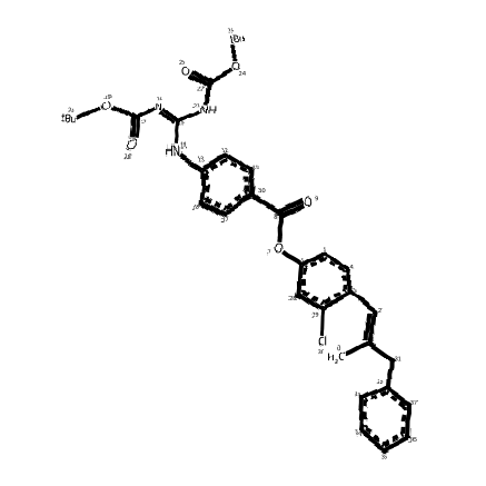 C/C(=C\c1ccc(OC(=O)c2ccc(N/C(=N\C(=O)OC(C)(C)C)NC(=O)OC(C)(C)C)cc2)cc1Cl)Cc1ccccc1